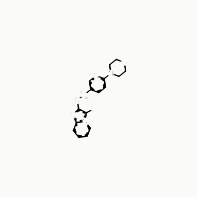 O=S(=O)(Nc1nc2ccccn2c1Cl)c1ccc(N2CCOCC2)nc1